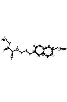 C=C(CO)C(=O)OCCCc1ccc2cc(CCCCCCC)ccc2c1